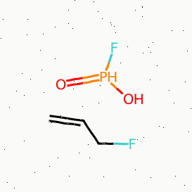 C=CCF.O=[PH](O)F